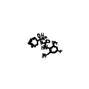 CC(C)c1cc(F)cc(C(C)C)c1NC(=O)N=S(N)(=O)c1cccnc1